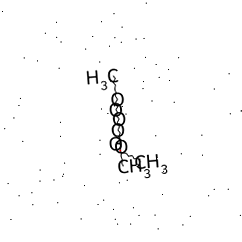 CCCCCCCOCCOCCOCCOCCCC(=O)OCC(CCCC)CCCCCC